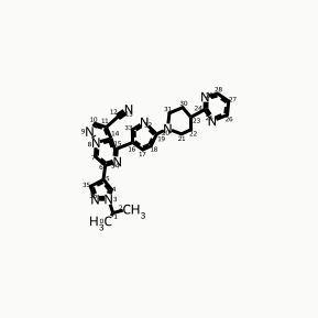 CC(C)n1cc(-c2cn3ncc(C#N)c3c(-c3ccc(N4CCC(c5ncccn5)CC4)nc3)n2)cn1